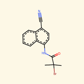 CC(C)(Br)C(=O)Nc1ccc(C#N)c2ccccc12